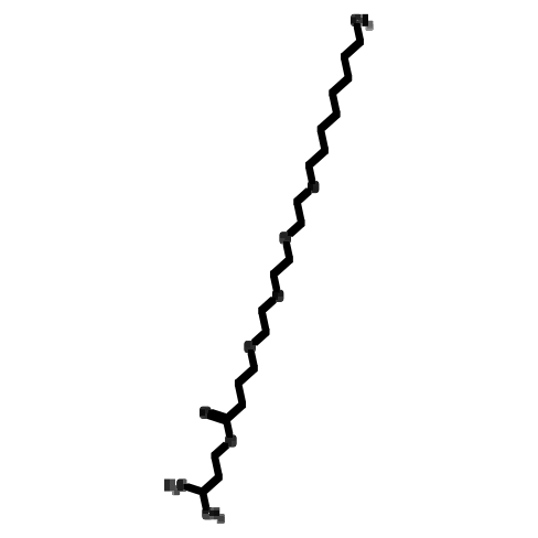 CCCCCCCCCOCCOCCOCCOCCCC(=O)OCCC(C)C